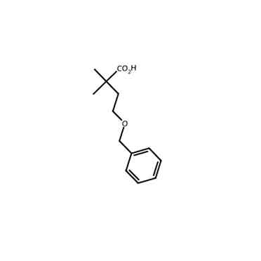 CC(C)(CCOCc1ccccc1)C(=O)O